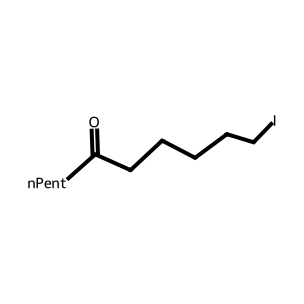 CCCCCC(=O)CCCCCI